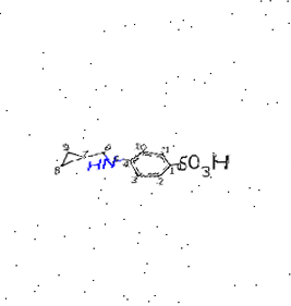 O=S(=O)(O)c1ccc(NCC2CC2)cc1